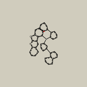 c1ccc(-c2ccccc2N(c2cccc(-c3cccc4ccccc34)c2)c2cccc3oc4nc5ccccc5cc4c23)cc1